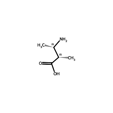 C[C@H](N)[C@H](C)C(=O)O